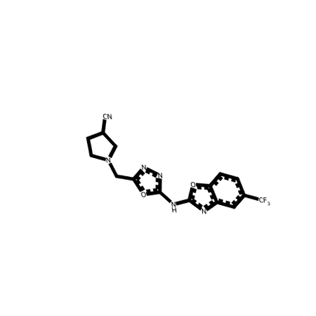 N#CC1CCN(Cc2nnc(Nc3nc4cc(C(F)(F)F)ccc4o3)o2)C1